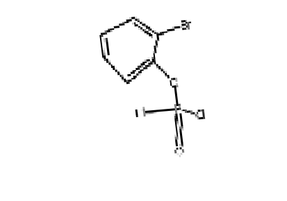 O=P(Cl)(Cl)Oc1ccccc1Br